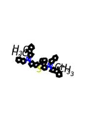 CC1(C)c2ccccc2-c2ccc(N(c3ccc4c(c3)C3(c5cc6cc(N(c7ccc8c(c7)C(C)(C)c7ccccc7-8)c7ccc8ccccc8c7)ccc6cc5S4)C4CC5CC(C4)CC3C5)c3ccc4ccccc4c3)cc21